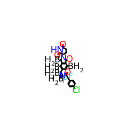 Bc1cc(C(B)N(B)C(=O)C(F)(F)c2ccc(Cl)cc2)c(B)c2c1C(=O)N(C1CCC(=O)NC1=O)C2B